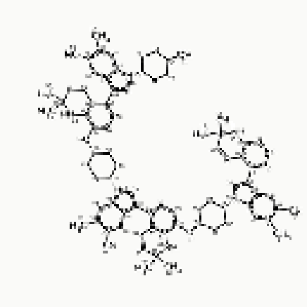 Cc1cc2c(cc1C#N)c(-c1cccc3c1C=CC(C)(C)N3)cn2[C@H]1CC[C@H](Oc2ccc(-c3cn([C@H]4CC[C@@H](Oc5ccc(-c6cn([C@H]7CC[C@H](O)CC7)c7cc(C)c(C#N)cc67)c6c5NC(C)(C)CC6)CC4)c4cc(C)c(C#N)cc34)c3c2NC(C)(C)C=C3)CC1